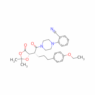 CCOc1ccc(CCC[C@@H](C(=O)N2CCN(c3ccccc3C#N)CC2)[C@@H]2OC(C)(C)OC2=O)cc1